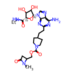 CCNC(=O)[C@H]1O[C@@H](n2cnc3c(N)nc(CCC4CCN(C(=O)OCC5CC(=O)N5C)CC4)nc32)C(O)C1O